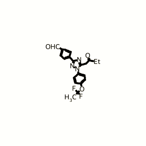 CCC(=O)Cc1nc(-c2ccc(C=O)cc2)nn1-c1ccc(OC(C)(F)F)cc1